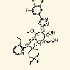 CCc1cccnc1[C@@H](S[C@@H]1O[C@H](CO)[C@H](O)[C@H](n2cc(-c3cc(F)c(F)c(F)c3)nn2)[C@H]1OC)C1(O)CCC(F)(F)CC1